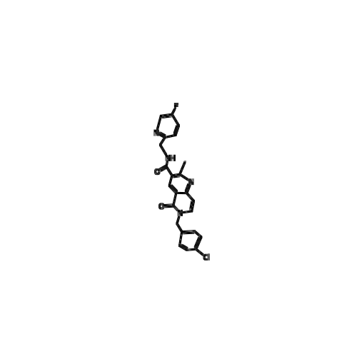 Cc1nc2ccn(Cc3ccc(Cl)cc3)c(=O)c2cc1C(=O)NCc1ccc(F)cn1